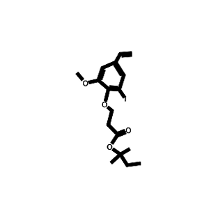 C=Cc1cc(I)c(OCCC(=O)OC(C)(C)CC)c(OC)c1